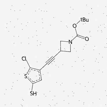 CC(C)(C)OC(=O)N1CC(C#Cc2cc(S)sc2Cl)C1